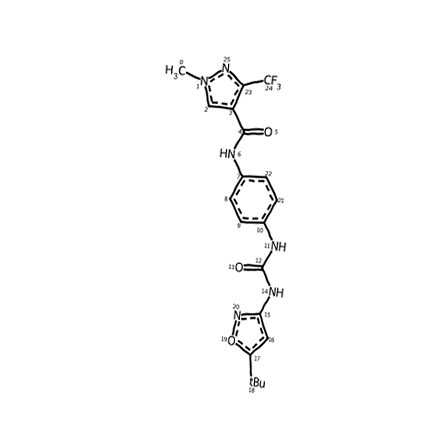 Cn1cc(C(=O)Nc2ccc(NC(=O)Nc3cc(C(C)(C)C)on3)cc2)c(C(F)(F)F)n1